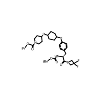 CC(C)OC(=O)N1CCC(OC2CCC(Oc3ccc(C[C@H](NC(=O)OC(C)(C)C)C(=O)N4CC(F)(F)C4)cc3)CC2)CC1